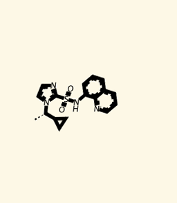 C[C@@H](C1CC1)n1ccnc1S(=O)(=O)Nc1cccc2cccnc12